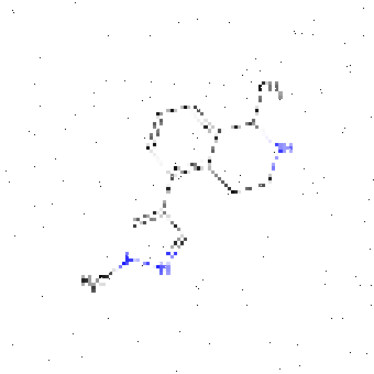 CC1NCCc2c(-c3cnn(C)c3)cccc21